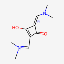 CN(C)/C=C1\C(=O)C(C=[N+](C)C)=C1O